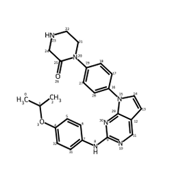 CC(C)Oc1ccc(Nc2ncc3ccn(-c4ccc(N5CCNCC5=O)cc4)c3n2)cc1